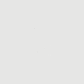 CP(=O)(O)c1ccc(Cl)cc1